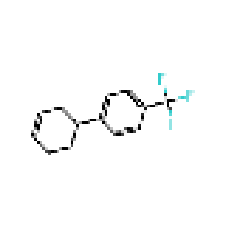 FC(F)(F)c1ccc(C2CC=CCC2)cc1